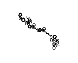 Nc1ncnc2c1c(-c1ccc(Oc3ccccc3)cc1)nn2[C@@H]1CCCN(C(=O)/C=C/CN2CCN(C(=O)CCCCCCSc3cccc4c3C(=O)N(C3CCC(=O)NC3=O)C4=O)CC2)C1